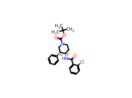 CC(C)(C)OC(=O)N1CC[C@H](NC(=O)c2ccccc2Cl)[C@@H](c2ccccc2)C1